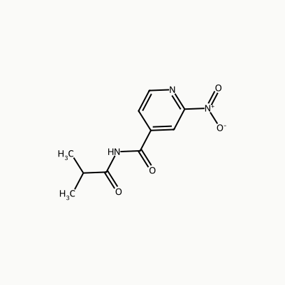 CC(C)C(=O)NC(=O)c1ccnc([N+](=O)[O-])c1